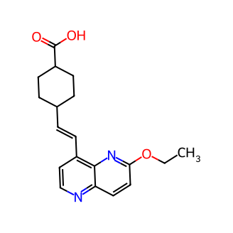 CCOc1ccc2nccc(C=CC3CCC(C(=O)O)CC3)c2n1